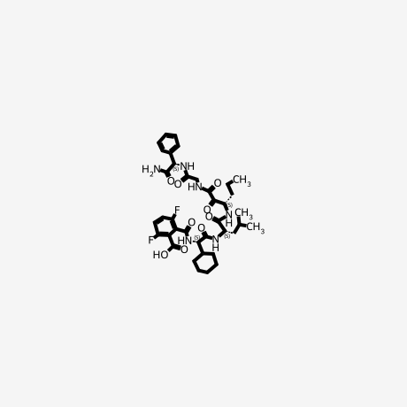 CCC[C@H](NC(=O)[C@H](CC(C)C)NC(=O)[C@@H](NC(=O)c1c(F)ccc(F)c1C(=O)O)C1CCCCC1)C(=O)C(=O)NCC(=O)N[C@H](C(N)=O)c1ccccc1